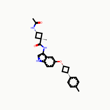 CC(=O)N[C@H]1C[C@](C)(C(=O)Nc2c[nH]c3ccc(O[C@H]4C[C@@H](c5ccc(C)cc5)C4)cc23)C1